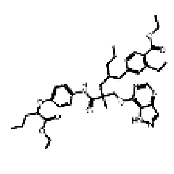 CCCC(Cc1ccc(C(=O)OCC)c(CC)c1)CC(C)(COc1ncnc2cn[nH]c12)C(=O)Nc1ccc(OC(CCC)C(=O)OCC)cc1